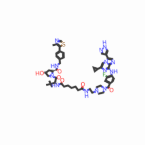 Cc1ncsc1-c1ccc(CNC(=O)[C@@H]2C[C@@H](O)CN2C(=O)[C@@H](NC(=O)CCCCCC(=O)NCCN2CCN(C(=O)c3ccc(Nc4nc(C5CC5)cn5c(-c6cn[nH]c6)cnc45)c(F)c3)CC2)C(C)(C)C)cc1